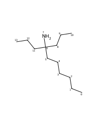 CCCCCCC(N)(CCC)CCC